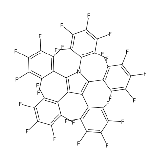 Fc1c(F)c(F)c(-c2c(-c3c(F)c(F)c(F)c(F)c3F)c(-c3c(F)c(F)c(F)c(F)c3F)n(-c3c(F)c(F)c(F)c(F)c3F)c2-c2c(F)c(F)c(F)c(F)c2F)c(F)c1F